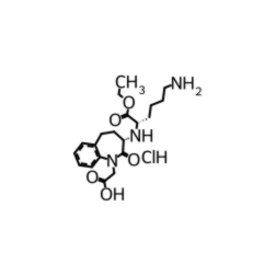 CCOC(=O)[C@H](CCCCN)N[C@H]1CCc2ccccc2N(CC(=O)O)C1=O.Cl